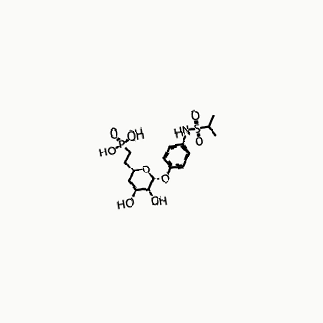 CC(C)S(=O)(=O)Nc1ccc(O[C@H]2O[C@H](CCP(=O)(O)O)C[C@H](O)[C@@H]2O)cc1